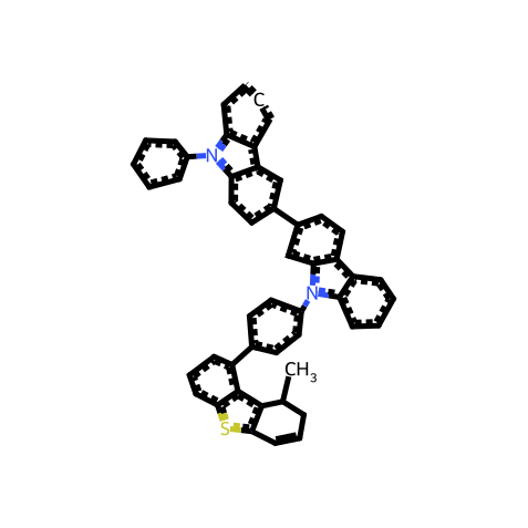 CC1CC=Cc2sc3cccc(-c4ccc(-n5c6ccccc6c6ccc(-c7ccc8c(c7)c7ccccc7n8-c7ccccc7)cc65)cc4)c3c21